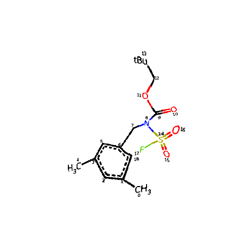 Cc1cc(C)cc(CN(C(=O)OCC(C)(C)C)S(=O)(=O)F)c1